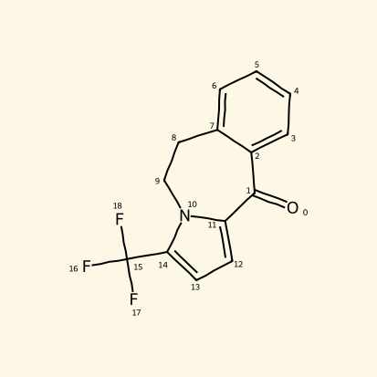 O=C1c2ccccc2CCn2c1ccc2C(F)(F)F